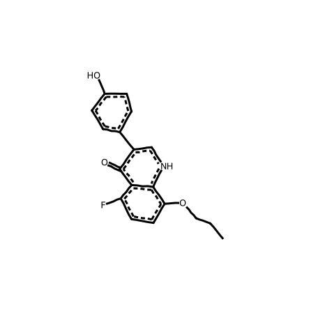 CCCOc1ccc(F)c2c(=O)c(-c3ccc(O)cc3)c[nH]c12